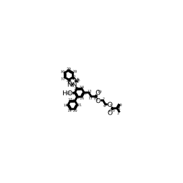 C=C(C)C(=O)OCCOC(=O)CCc1cc(-c2ccccc2)c(O)c(-n2nc3ccccc3n2)c1